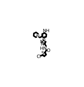 N=C1C=C(CN2CCCCC2)C(n2cc(CNC(=O)c3ccc(Cl)s3)nn2)=CC1